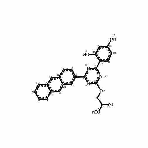 CCCCC(CC)COc1nc(-c2ccc3cc4ccccc4cc3c2)nc(-c2ccc(O)cc2O)n1